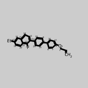 C=CCOc1ccc(-c2ccc(-c3ccc4cc(CC)ccc4c3F)cc2)cc1